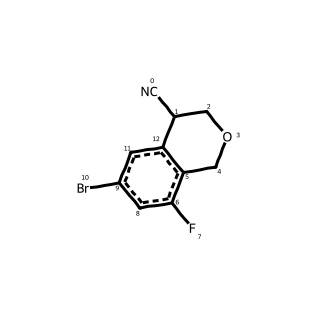 N#CC1COCc2c(F)cc(Br)cc21